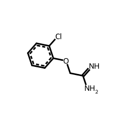 N=C(N)COc1ccccc1Cl